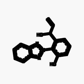 C=CC(O)c1cccc(O)c1-n1nc2ccccc2n1